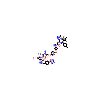 Cc1ccc(C2=N[C@@H](CC(=O)N[C@H]3C[C@@H](Oc4ccc(OCC(=O)N[C@H](C(=O)N5C[C@H](O)C[C@H]5C(=O)N[C@@H](C)c5ccc(-c6nc(C)no6)cc5)C(C)(C)C)cn4)C3)c3nnc(C)n3-c3sc(C)c(C)c32)cc1